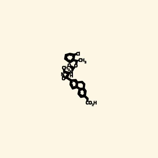 Cc1noc(-c2ccc3c(c2)CCc2cc(CC(=O)O)ccc2-3)c1NC(=O)O[C@H](C)c1ccccc1Cl